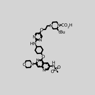 CC(C)(C)C1CN(CCOc2cnc(NC3CCC(Oc4nc(N5CCOCC5)cc5ncc(NS(C)(=O)=O)cc45)CC3)nc2)CCN1C(=O)O